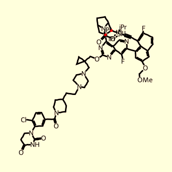 COCOc1cc(-c2ncc3c(N4CC5CCC(C4)N5C(=O)OC(C)(C)C)nc(OCC4(CN5CCN(CCC6CCN(C(=O)c7ccc(Cl)c(N8CCC(=O)NC8=O)c7)CC6)CC5)CC4)nc3c2F)c2c(C#C[Si](C(C)C)(C(C)C)C(C)C)c(F)ccc2c1